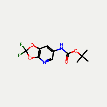 CC(C)(C)OC(=O)Nc1cnc2c(c1)OC(F)(F)O2